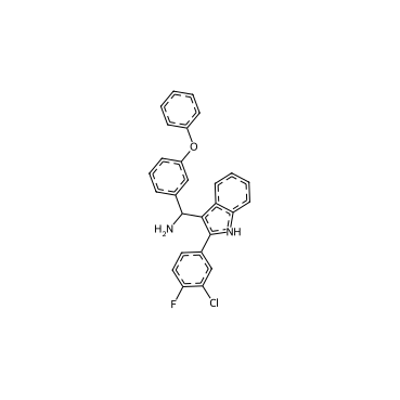 NC(c1cccc(Oc2ccccc2)c1)c1c(-c2ccc(F)c(Cl)c2)[nH]c2ccccc12